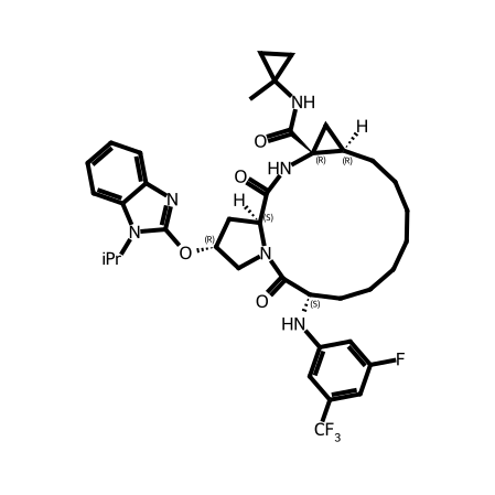 CC(C)n1c(O[C@@H]2C[C@H]3C(=O)N[C@]4(C(=O)NC5(C)CC5)C[C@H]4CCCCCCC[C@H](Nc4cc(F)cc(C(F)(F)F)c4)C(=O)N3C2)nc2ccccc21